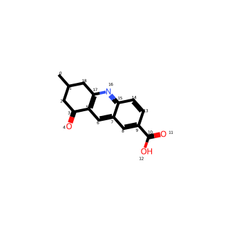 CC1CC(=O)c2cc3cc(C(=O)O)ccc3nc2C1